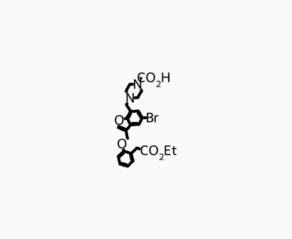 CCOC(=O)Cc1ccccc1OCc1coc2c(CN3CCN(C(=O)O)CC3)cc(Br)cc12